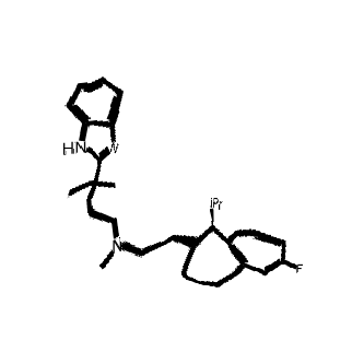 CC(C)[C@@H]1[C](CCN(C)CCC(C)(C)c2nc3ccccc3[nH]2)CCc2cc(F)ccc21